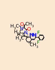 CCN(C[C@@]1(C(C)C)CC[C@H](C)/C(=C/C(=N)c2c(F)cccc2F)C1=N)C(=O)c1nc(C)oc1C